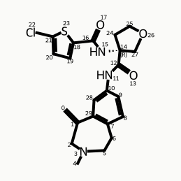 C=C1CN(C)CCc2ccc(NC(=O)[C@@]3(NC(=O)c4ccc(Cl)s4)CCOC3)cc21